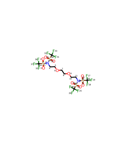 O=S(=O)(N(CCOCCOCCN(S(=O)(=O)C(F)(F)F)S(=O)(=O)C(F)(F)F)S(=O)(=O)C(F)(F)F)C(F)(F)F